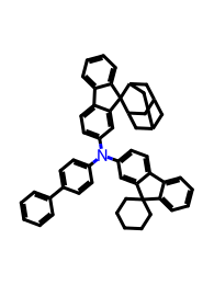 c1ccc(-c2ccc(N(c3ccc4c(c3)C3(CCCCC3)c3ccccc3-4)c3ccc4c(c3)C3(c5ccccc5-4)C4CC5CC(C4)CC3C5)cc2)cc1